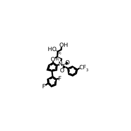 O=S(=O)(c1cccc(C(F)(F)F)c1)N1C[C@H]([C@H](O)CO)Oc2ccc(-c3cc(F)ccc3F)cc21